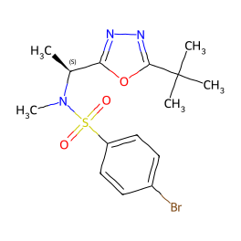 C[C@@H](c1nnc(C(C)(C)C)o1)N(C)S(=O)(=O)c1ccc(Br)cc1